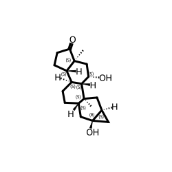 C[C@]12C[C@H]3C[C@]3(O)C[C@@H]1CC[C@@H]1[C@@H]2[C@@H](O)C[C@]2(C)C(=O)CC[C@@H]12